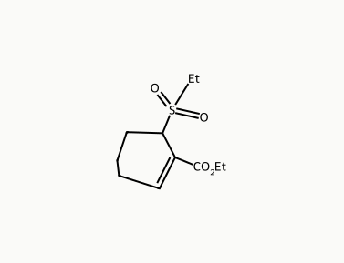 CCOC(=O)C1=CCCCC1S(=O)(=O)CC